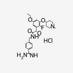 CCOc1cc(OC2CCN(C)CC2)c(F)c([C@H](OC)C(=O)NCc2ccc(C(=N)N)cc2)c1.Cl